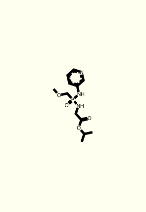 COCP(=O)(NCC(=O)OC(C)C)Nc1cccnc1